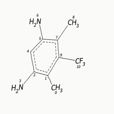 Cc1c(N)cc(N)c(C)c1C(F)(F)F